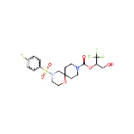 O=C(OC(CO)C(F)(F)F)N1CCC2(CC1)CN(S(=O)(=O)c1ccc(F)cc1)CCO2